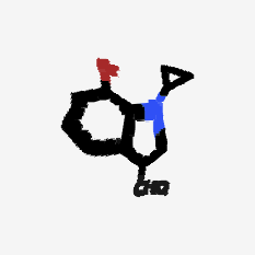 O=Cc1cn(C2CC2)c2c(Br)cccc12